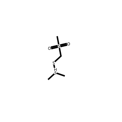 C[SH](C)SCS(C)(=O)=O